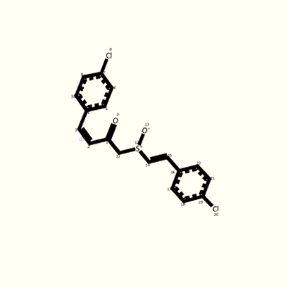 O=C(/C=C\c1ccc(Cl)cc1)C[S+]([O-])C=Cc1ccc(Cl)cc1